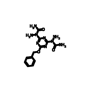 NC(=O)N(N)c1nc(OCc2ccccc2)nc(N(N)C(N)=O)n1